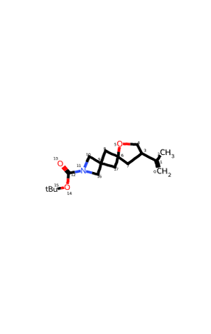 C=C(C)C1COC2(C1)CC1(CN(C(=O)OC(C)(C)C)C1)C2